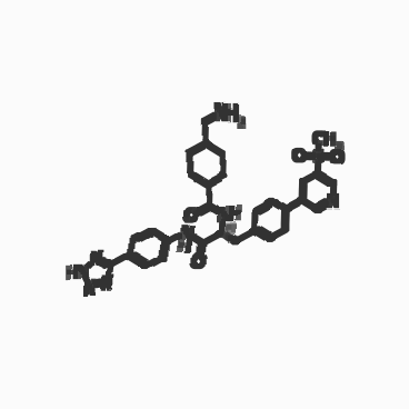 CS(=O)(=O)c1cncc(-c2ccc(C[C@H](NC(=O)C3CCC(CN)CC3)C(=O)Nc3ccc(-c4nn[nH]n4)cc3)cc2)c1